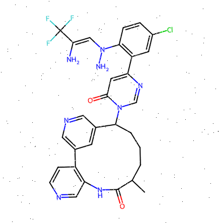 CC1CCCC(n2cnc(-c3cc(Cl)ccc3N(N)/C=C(\N)C(F)(F)F)cc2=O)c2cncc(c2)-c2ccncc2NC1=O